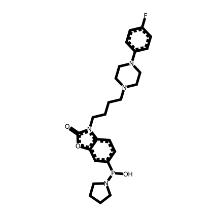 O=c1oc2cc(P(O)N3CCCC3)ccc2n1CCCCN1CCN(c2ccc(F)cc2)CC1